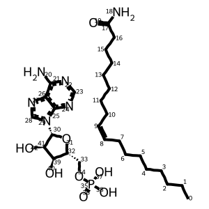 CCCCCCCC/C=C\CCCCCCCC(N)=O.Nc1ncnc2c1ncn2[C@@H]1O[C@H](COP(=O)(O)O)[C@@H](O)[C@H]1O